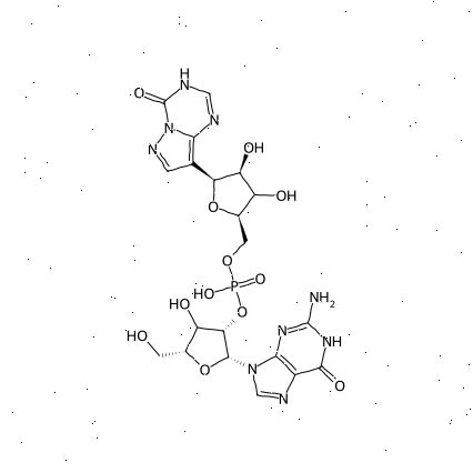 Nc1nc2c(ncn2[C@@H]2O[C@H](CO)C(O)[C@@H]2OP(=O)(O)OC[C@H]2O[C@@H](c3cnn4c(=O)[nH]cnc34)[C@@H](O)C2O)c(=O)[nH]1